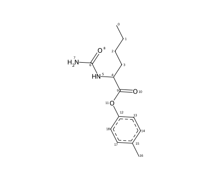 CCCCC(NC(N)=O)C(=O)Oc1ccc(C)cc1